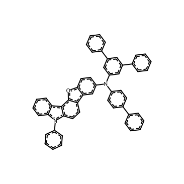 c1ccc(-c2ccc(N(c3cc(-c4ccccc4)cc(-c4ccccc4)c3)c3ccc4oc5c(ccc6c5c5ccccc5n6-c5ccccc5)c4c3)cc2)cc1